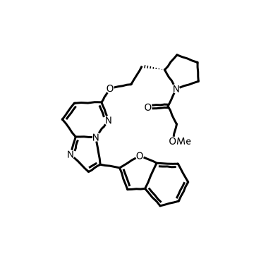 COCC(=O)N1CCC[C@H]1CCOc1ccc2ncc(-c3cc4ccccc4o3)n2n1